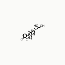 COc1nc(SCC(O)CO)cnc1NS(=O)(=O)c1cccc(Cl)c1Cl